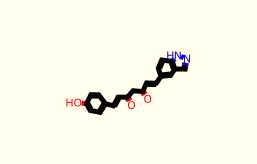 O=C(C=Cc1ccc(O)cc1)CC(=O)C=Cc1ccc2[nH]ncc2c1